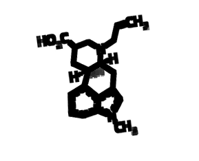 C=CCN1CC(C(=O)O)C[C@@H]2c3cccc4c3c(cn4C)C[C@H]21